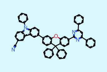 N#Cc1ccc2c(c1)c1cc(-c3ccc4c(c3)Oc3cc(-c5nc(-c6ccccc6)cc(-c6ccccc6)n5)ccc3C4(c3ccccc3)c3ccccc3)ccc1n2-c1ccccc1